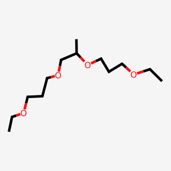 CCOCCCOCC(C)OCCCOCC